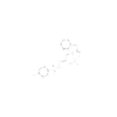 CCC[C@H]1CC(=NNS(=O)(=O)c2ccc(C)cc2)C[C@]2(O1)C(=O)Nc1ccccc12